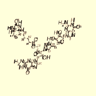 Nc1nc2c(ncn2[C@@H]2O[C@H](Cc3cn([C@H]4[C@@H](O)[C@H](n5cnc6c(=O)[nH]c(N)nc65)O[C@@H]4COC(=O)CCCC[C@@H]4SC[C@@H]5NC(=O)N[C@@H]54)nn3)[C@@H](O)[C@H]2O)c(=O)[nH]1